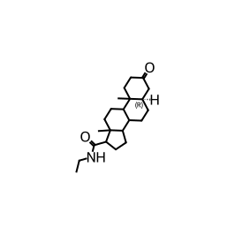 CCNC(=O)C1CCC2C3CC[C@@H]4CC(=O)CCC4(C)C3CCC12C